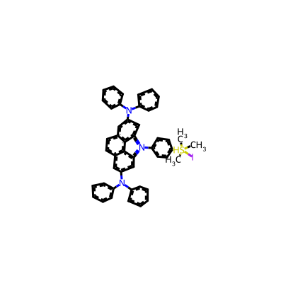 C[SH](C)(C)(I)c1ccc(-n2c3cc(N(c4ccccc4)c4ccccc4)cc4ccc5cc(N(c6ccccc6)c6ccccc6)cc2c5c43)cc1